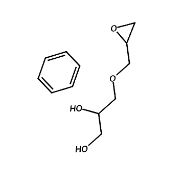 OCC(O)COCC1CO1.c1ccccc1